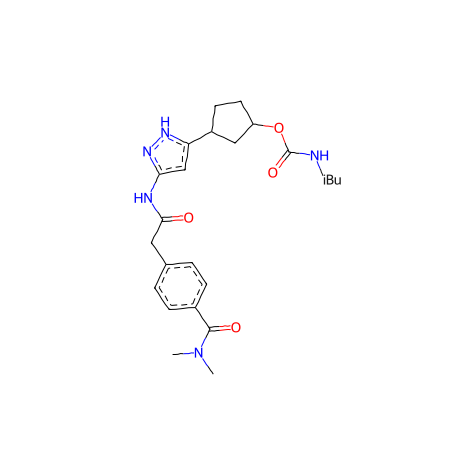 CCC(C)NC(=O)OC1CCC(c2cc(NC(=O)Cc3ccc(C(=O)N(C)C)cc3)n[nH]2)C1